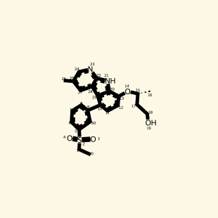 CCS(=O)(=O)c1cccc(-c2ccc(O[C@H](C)CCO)c3[nH]c4ncc(C)cc4c23)c1